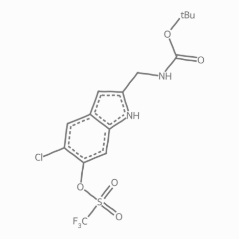 CC(C)(C)OC(=O)NCc1cc2cc(Cl)c(OS(=O)(=O)C(F)(F)F)cc2[nH]1